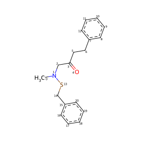 CN(CC(=O)CCc1ccccc1)SCc1ccccc1